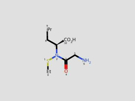 CCSN(C(=O)CN)[C@@H](CC(C)C)C(=O)O